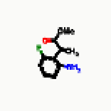 C=C(C(=O)OC)c1c(N)cccc1F